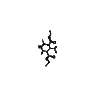 CCOC(=O)C1C(C)NC(C)C(C(=O)OCC)C1C(C)C